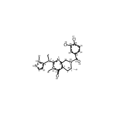 C[C@@H]1Cc2c(nc(N(C)c3ccnn3C)n(C)c2=O)CN1C(=O)c1ccc(Cl)c(Cl)c1